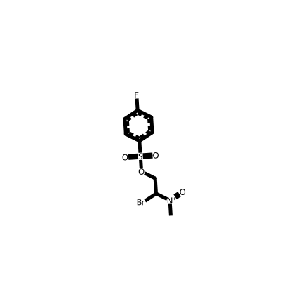 C[N+](=O)C(Br)COS(=O)(=O)c1ccc(F)cc1